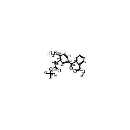 COC(=O)c1ccccc1C(=O)c1ccc(N)c(NC(=O)OC(C)(C)C)c1